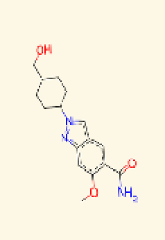 COc1cc2nn(C3CCC(CO)CC3)cc2cc1C(N)=O